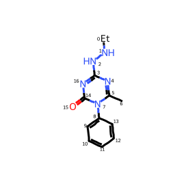 CCNNc1nc(C)n(-c2ccccc2)c(=O)n1